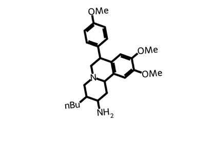 CCCCC1CN2CC(c3ccc(OC)cc3)c3cc(OC)c(OC)cc3C2CC1N